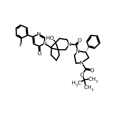 CC(C)(C)OC(=O)N1CCN(C(=O)N2CC[C@@](O)(Cn3cnc(-c4ccccc4F)cc3=O)C3(CCCC3)C2)[C@H](c2ccccc2)C1